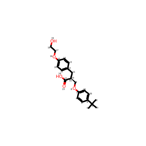 CC(C)(C)c1ccc(OC[C@H](Cc2ccc(OCCO)cc2)C(=O)O)cc1